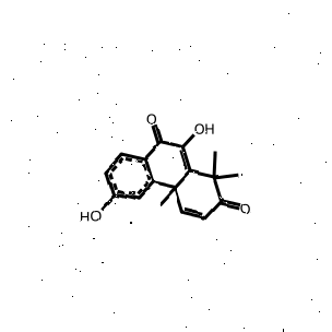 CC1(C)C(=O)C=CC2(C)C1=C(O)C(=O)c1ccc(O)cc12